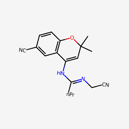 CCCC(=NCC#N)NC1=CC(C)(C)Oc2ccc(C#N)cc21